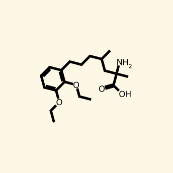 CCOc1cccc(CCCC(C)CC(C)(N)C(=O)O)c1OCC